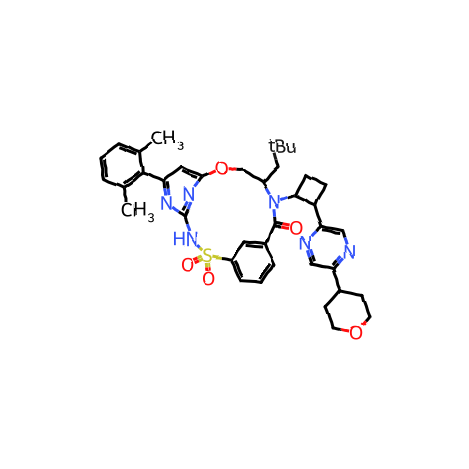 Cc1cccc(C)c1-c1cc2nc(n1)NS(=O)(=O)c1cccc(c1)C(=O)N(C1CCC1c1cnc(C3CCOCC3)cn1)C(CC(C)(C)C)CO2